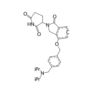 CC(C)N(Cc1ccc(COc2cccc3c2CN(C2CCC(=O)NC2=O)C3=O)cc1)C(C)C